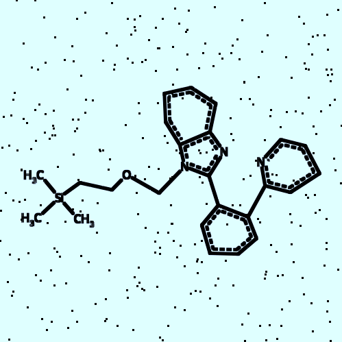 C[Si](C)(C)CCOCn1c(-c2ccccc2-c2ccccn2)nc2ccccc21